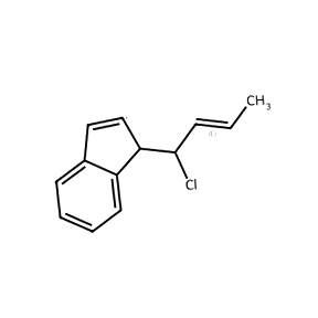 C/C=C/C(Cl)C1[C]=Cc2ccccc21